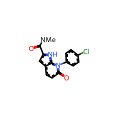 CNC(=O)c1cc2ccc(=O)n(-c3ccc(Cl)cc3)c2[nH]1